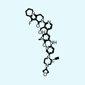 C#C[C@H]1CN(C2COC2)CCN1c1ccc(Nc2cc(-c3ccnc(N4CCc5c(c(F)c6n5CCCC6)C4=O)c3CO)cn(C)c2=O)nc1